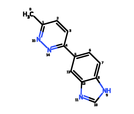 Cc1ccc(-c2ccc3[nH]cnc3c2)nn1